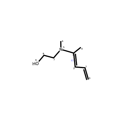 C=C/C=C(\C)N(C)CCO